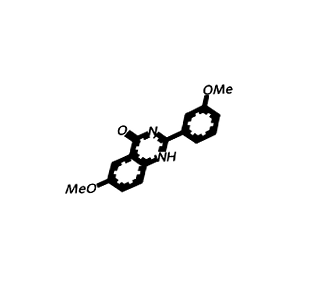 COc1cccc(-c2nc(=O)c3cc(OC)ccc3[nH]2)c1